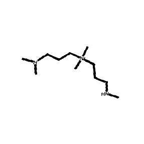 CNCCC[N+](C)(C)CCCN(C)C